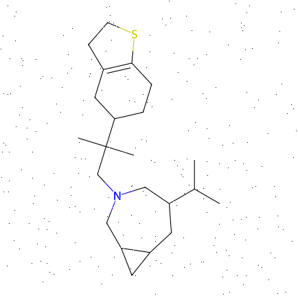 CC(C)C1CC2CC2CN(CC(C)(C)C2CCC3=C(CCS3)C2)C1